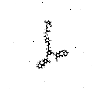 COc1cc2c(cc1OCc1cc(COc3cc4c(cc3OC)C(=O)N3CCCC[C@H]3C=N4)cc(OCCOc3ccc(/C(C)=N/NC(=O)CCCN4C(=O)C=CC4=O)cc3)c1)N=C[C@@H]1CCCCC1C2=O